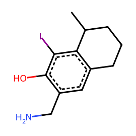 CC1CCCc2cc(CN)c(O)c(I)c21